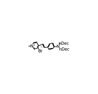 CCCCCCCCCCN(CCCCCCCCCC)c1ccc(/C=C/c2cc[n+](C)cc2Br)cc1